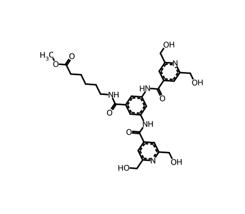 COC(=O)CCCCCNC(=O)c1cc(NC(=O)c2cc(CO)nc(CO)c2)cc(NC(=O)c2cc(CO)nc(CO)c2)c1